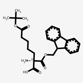 CC(C)(C)OC(=O)CCCC[C@](N)(C(=O)O)C(=O)OCC1c2ccccc2-c2ccccc21